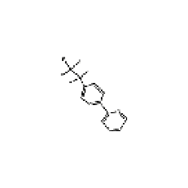 CC(C)(c1ccc(-c2ccccn2)cc1)C(F)(F)F